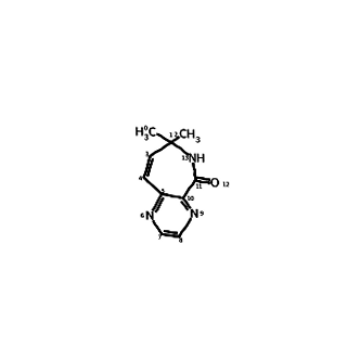 CC1(C)C=Cc2nccnc2C(=O)N1